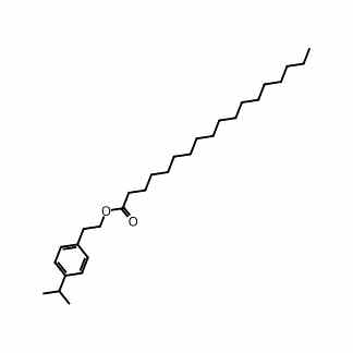 CCCCCCCCCCCCCCCCCC(=O)OCCc1ccc(C(C)C)cc1